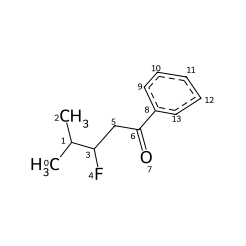 CC(C)C(F)CC(=O)c1ccccc1